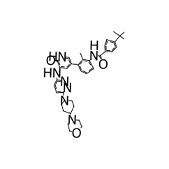 Cc1c(NC(=O)c2ccc(C(C)(C)C)cc2)cccc1-c1c[nH]c(=O)c(Nc2ccc(N3CCC(N4CCOCC4)CC3)nn2)c1